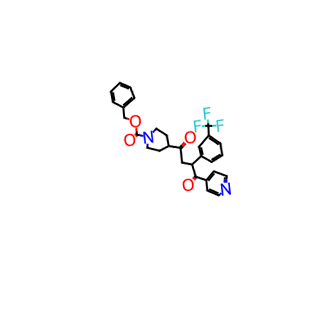 O=C(CC(C(=O)c1ccncc1)c1cccc(C(F)(F)F)c1)C1CCN(C(=O)OCc2ccccc2)CC1